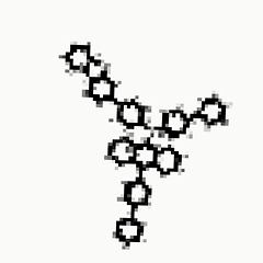 c1ccc(-c2ccc(-c3c4c(c(N(c5ccc(-c6ccccc6)cc5)c5ccc(-c6ccc7c(c6)oc6ccccc67)cc5)c5c3CCCC5)CCCC4)cc2)cc1